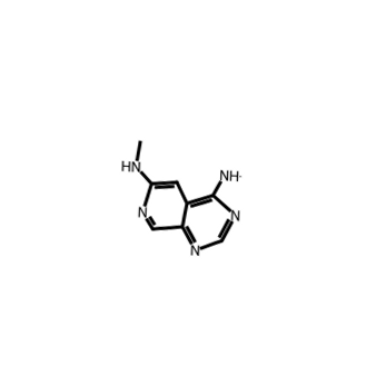 CNc1cc2c([NH])ncnc2cn1